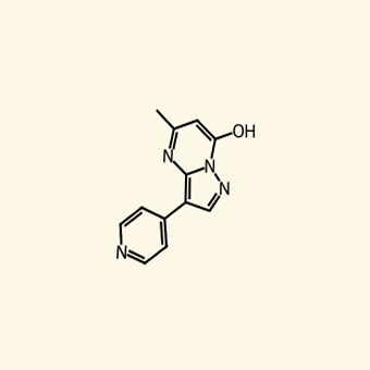 Cc1cc(O)n2ncc(-c3ccncc3)c2n1